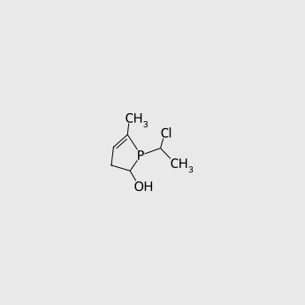 CC1=CCC(O)P1C(C)Cl